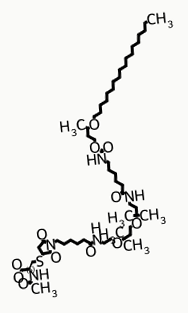 CCCCCCCCCCCCCCCCCCOC(C)CCOC(=O)NCCCCCC(=O)NCCC(C)(C)OCCC(C)(C)OCCNC(=O)CCCCCN1C(=O)CC(SC[C@@H](NC(C)=O)C(=O)O)C1=O